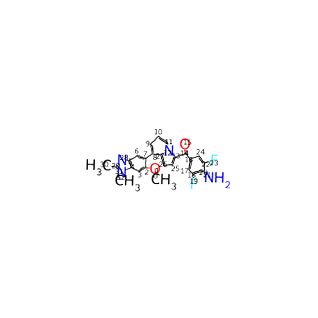 COc1cc2c(cc1-c1cccn3c(C(=O)c4cc(F)c(N)c(F)c4)ccc13)nc(C)n2C